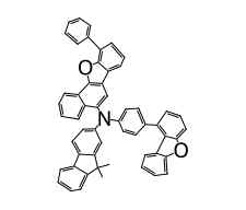 CC1(C)c2ccccc2-c2ccc(N(c3ccc(-c4cccc5oc6ccccc6c45)cc3)c3cc4c5cccc(-c6ccccc6)c5oc4c4ccccc34)cc21